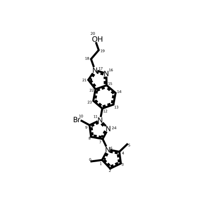 Cc1ccc(C)n1-c1cc(Br)n(-c2ccc3nn(CCO)cc3c2)n1